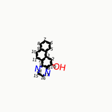 Oc1cc2c3ccccc3ccc2c2nccnc12